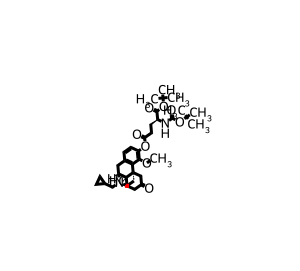 COc1c(OC(=O)CC[C@H](NC(=O)OC(C)(C)C)C(=O)OC(C)(C)C)ccc2c1[C@]13CCN(CC4CC4)[C@H](C2)[C@]1(O)CCC(=O)C3